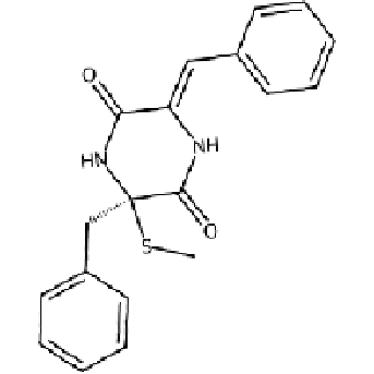 CS[C@@]1(Cc2ccccc2)NC(=O)/C(=C/c2ccccc2)NC1=O